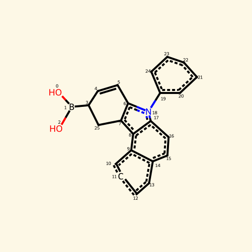 OB(O)C1C=Cc2c(c3c4ccccc4ccc3n2-c2ccccc2)C1